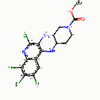 CC(C)(C)OC(=O)N1CCC(Nc2c(N)c(Cl)nc3c(F)c(Br)c(Cl)cc23)CC1